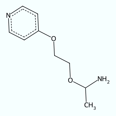 CC(N)OCCOc1ccncc1